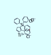 [Cl-].[Cl-].[Cl-].[Ti+3][C]1=CCC([Si](c2ccccc2)(c2ccccc2)c2ccccc2)=C1c1ccccc1